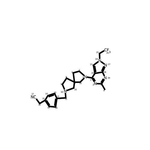 Cc1nc(N2CCC3(CCN(Cc4ccc(CC#N)cc4)C3)C2)c2cn(CC(F)(F)F)nc2n1